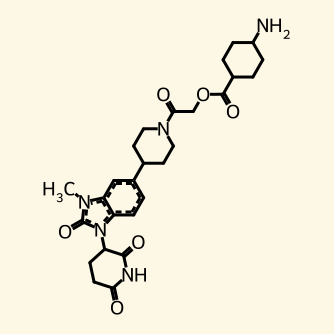 Cn1c(=O)n(C2CCC(=O)NC2=O)c2ccc(C3CCN(C(=O)COC(=O)C4CCC(N)CC4)CC3)cc21